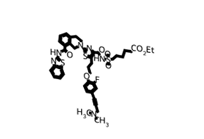 CCOC(=O)CCCCCS(=O)(=O)NC(=O)c1nc(N2CCc3cccc(C(=O)Nc4nc5ccccc5s4)c3C2)sc1CCCOc1ccc(C#CCN(C)C)cc1F